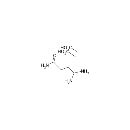 CC(=O)O.CC(=O)O.NC(=O)CCC(N)N